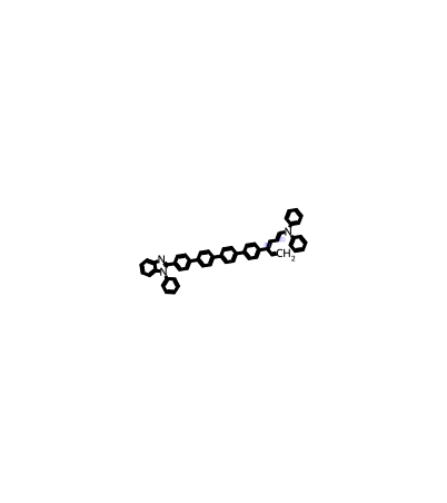 C=C/C(=C\C=C\N(c1ccccc1)c1ccccc1)c1ccc(-c2ccc(-c3ccc(-c4ccc(-c5nc6ccccc6n5-c5ccccc5)cc4)cc3)cc2)cc1